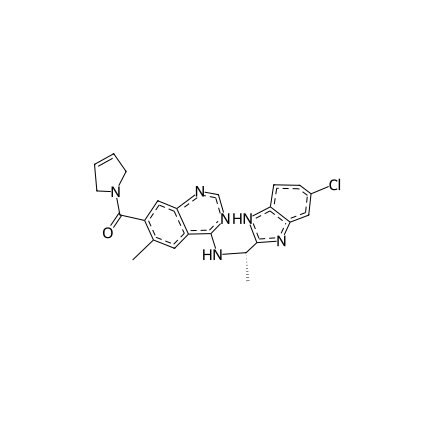 Cc1cc2c(N[C@@H](C)c3nc4cc(Cl)ccc4[nH]3)ncnc2cc1C(=O)N1CC=CC1